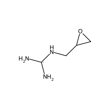 N[C](N)NCC1CO1